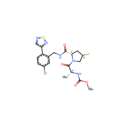 CC(C)(C)OC(=O)N[C@@H](C(=O)N1C[C@H](F)C[C@H]1C(=O)NCc1cc(Cl)ccc1-c1cnsn1)C(C)(C)C